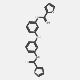 N=C(Nc1cccc(Bc2cccc(NC(=N)c3cccs3)c2)c1)c1cccs1